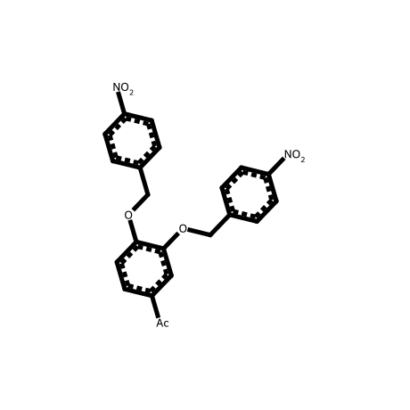 CC(=O)c1ccc(OCc2ccc([N+](=O)[O-])cc2)c(OCc2ccc([N+](=O)[O-])cc2)c1